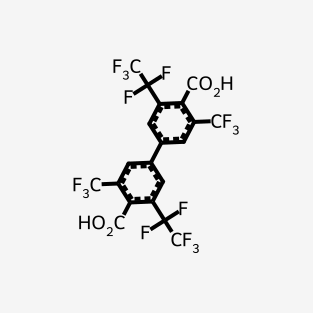 O=C(O)c1c(C(F)(F)F)cc(-c2cc(C(F)(F)F)c(C(=O)O)c(C(F)(F)C(F)(F)F)c2)cc1C(F)(F)C(F)(F)F